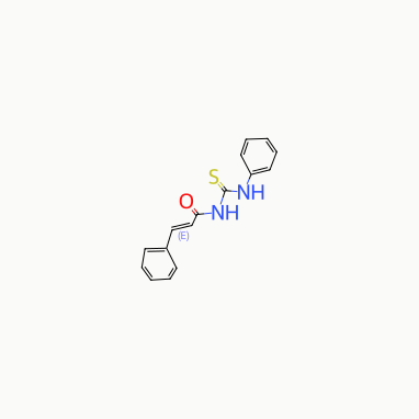 O=C(/C=C/c1ccccc1)NC(=S)Nc1ccccc1